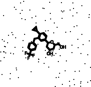 OCC1C[C@H](O)CC(c2ccc(C3CC3)c(Cc3ccc(C(F)(F)F)cc3)c2)O1